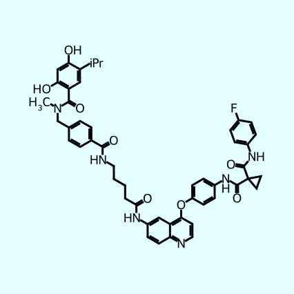 CC(C)c1cc(C(=O)N(C)Cc2ccc(C(=O)NCCCCC(=O)Nc3ccc4nccc(Oc5ccc(NC(=O)C6(C(=O)Nc7ccc(F)cc7)CC6)cc5)c4c3)cc2)c(O)cc1O